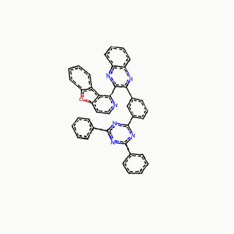 c1ccc(-c2nc(-c3ccccc3)nc(-c3cccc(-c4nc5ccccc5nc4-c4nccc5oc6ccccc6c45)c3)n2)cc1